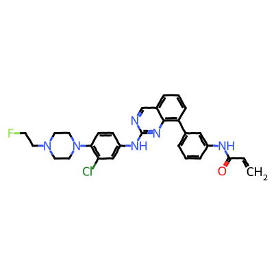 C=CC(=O)Nc1cccc(-c2cccc3cnc(Nc4ccc(N5CCN(CCF)CC5)c(Cl)c4)nc23)c1